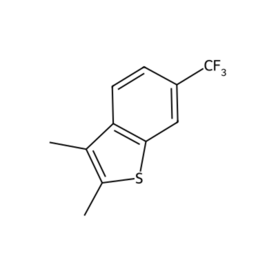 Cc1sc2cc(C(F)(F)F)ccc2c1C